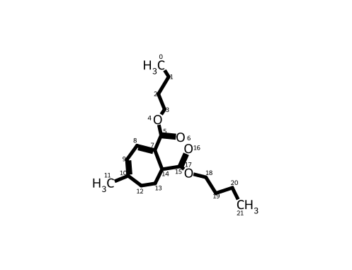 CCCCOC(=O)C1=CC=C(C)CCC1C(=O)OCCCC